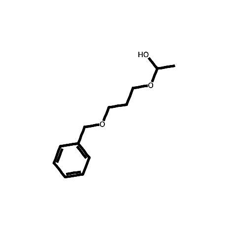 C[C](O)OCCCOCc1ccccc1